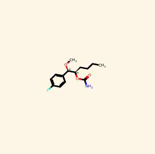 CCCC[C@@H](OC(N)=O)[C@H](OC)c1ccc(F)cc1